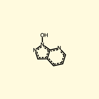 On1ncc2cccnc21